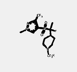 Cn1cc(S(=O)(=O)C(C)(F)C2CCN(C(=O)O)CC2)c(C(F)(F)F)n1